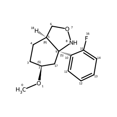 CO[C@H]1CC[C@H]2CON[C@@]2(c2ccccc2F)C1